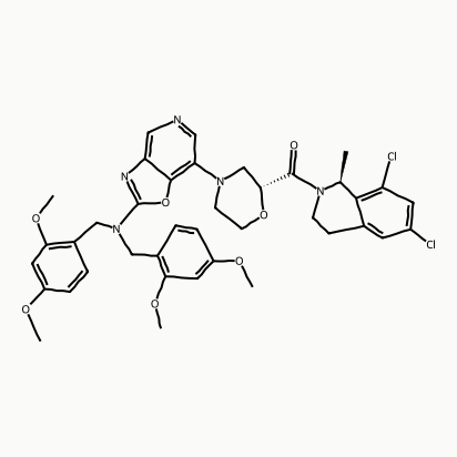 COc1ccc(CN(Cc2ccc(OC)cc2OC)c2nc3cncc(N4CCO[C@@H](C(=O)N5CCc6cc(Cl)cc(Cl)c6[C@@H]5C)C4)c3o2)c(OC)c1